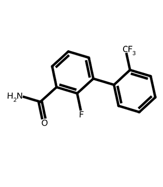 NC(=O)c1cccc(-c2ccccc2C(F)(F)F)c1F